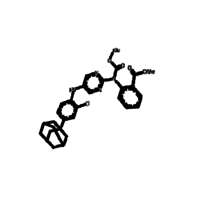 COC(=O)c1ccccc1N(C(=O)OC(C)(C)C)c1ncc(Nc2ccc(C34CC5CC(CC(C5)C3)C4)cc2Cl)cn1